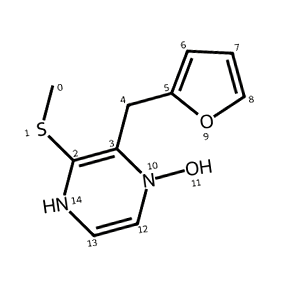 CSC1=C(Cc2ccco2)N(O)C=CN1